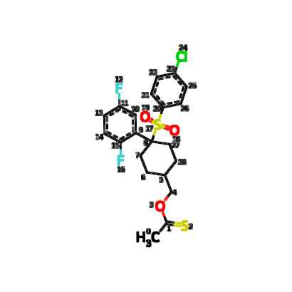 CC(=S)OCC1CCC(c2cc(F)ccc2F)(S(=O)(=O)c2ccc(Cl)cc2)CC1